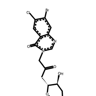 O=C(C[C@H]1OCCC[C@@H]1O)Cn1cnc2cc(Br)c(Cl)cc2c1=O